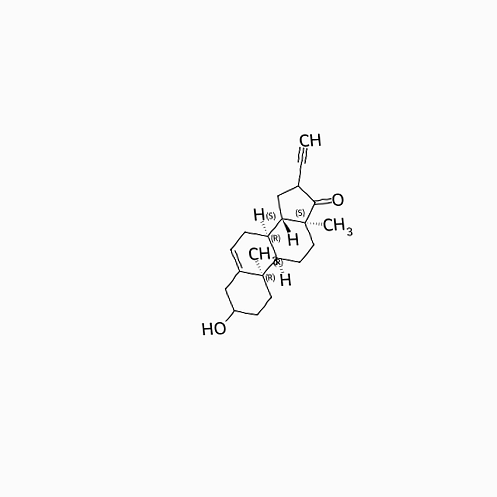 C#CC1C[C@H]2[C@@H]3CC=C4CC(O)CC[C@]4(C)[C@@H]3CC[C@]2(C)C1=O